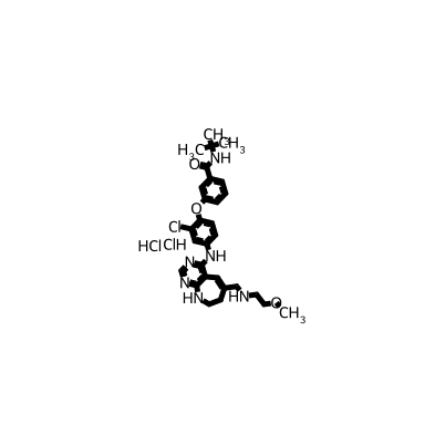 COCCNCC1=Cc2c(ncnc2Nc2ccc(Oc3cccc(C(=O)NC(C)(C)C)c3)c(Cl)c2)NCC1.Cl.Cl